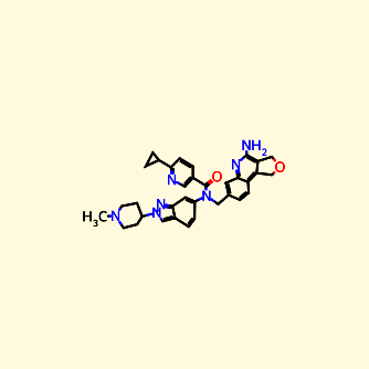 CN1CCC(n2cc3ccc(N(Cc4ccc5c6c(c(N)nc5c4)COC6)C(=O)c4ccc(C5CC5)nc4)cc3n2)CC1